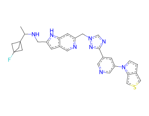 CC(NCc1cc2cnc(Cn3cnc(-c4cncc(-n5ccc6cscc65)c4)n3)cc2[nH]1)C12CC(F)(C1)C2